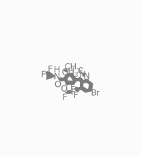 COc1cc(-c2c3c(C(F)F)cc(Br)cc3nn2C)cc(OC(F)F)c1C(=O)N[C@@H]1CC1(F)F